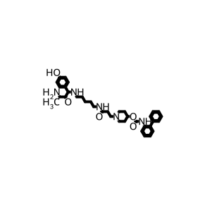 C[C@H](N)C(=O)C(NCCCCCNC(=O)CCN1CCC(OC(=O)Nc2ccccc2-c2ccccc2)CC1)c1ccc(O)cc1